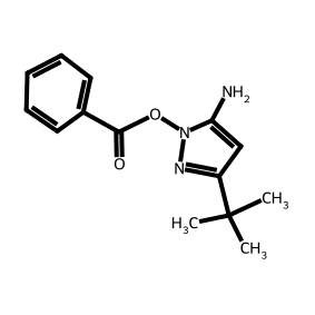 CC(C)(C)c1cc(N)n(OC(=O)c2ccccc2)n1